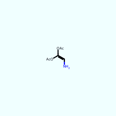 CC(=O)OC(=CN)OC(C)=O